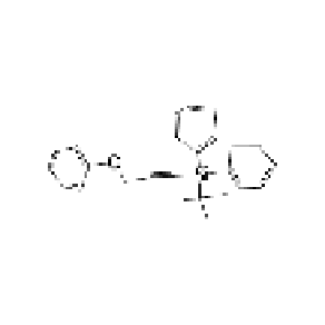 CC(C)(C)[Si](C#CCOc1ccccc1)(c1ccccc1)c1ccccc1